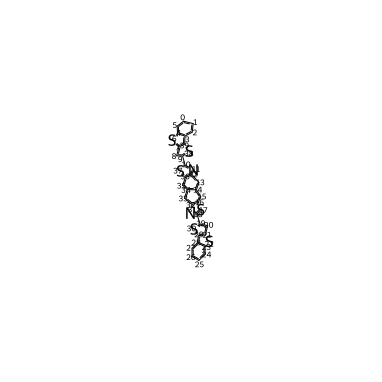 c1ccc2c(c1)sc1cc(-c3nc4cc5cc6sc(-c7cc8sc9ccccc9c8s7)nc6cc5cc4s3)sc12